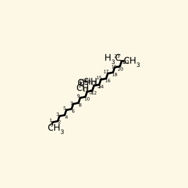 CCCCCCCCCCCCCCCCCCCCCC(C)C.CO[SiH3]